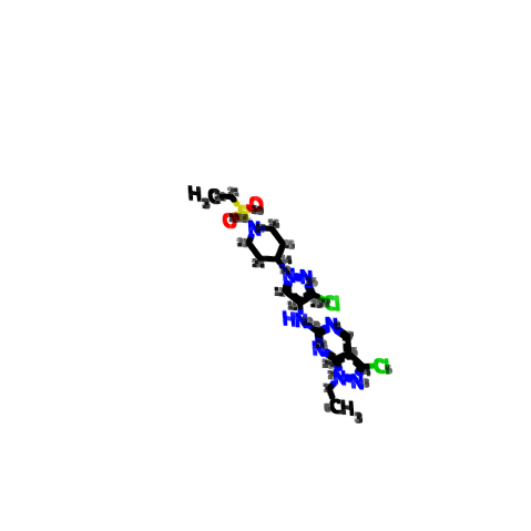 CCn1nc(Cl)c2cnc(Nc3cn(C4CCN(S(=O)(=O)CC)CC4)nc3Cl)nc21